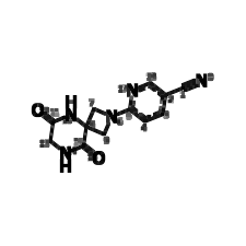 N#Cc1ccc(N2CC3(C2)NC(=O)CNC3=O)nc1